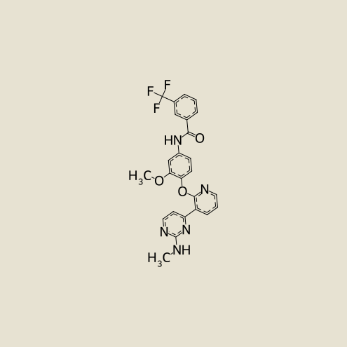 CNc1nccc(-c2cccnc2Oc2ccc(NC(=O)c3cccc(C(F)(F)F)c3)cc2OC)n1